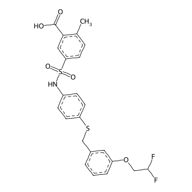 Cc1ccc(S(=O)(=O)Nc2ccc(SCc3cccc(OCC(F)F)c3)cc2)cc1C(=O)O